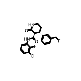 O=C1NCC[C@H](c2cccc(CF)c2)[C@H]1C(=O)Nc1cccc(Cl)c1F